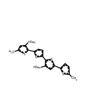 CCCCCCCCCCc1cc(C)sc1-c1ccc(-c2sc(-c3ccc(C)s3)cc2CCCCCCCCCC)s1